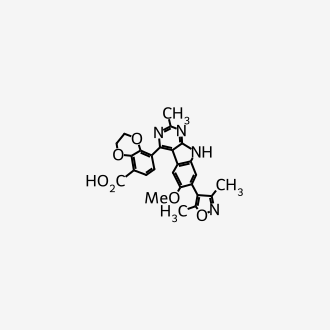 COc1cc2c(cc1-c1c(C)noc1C)[nH]c1nc(C)nc(-c3ccc(C(=O)O)c4c3OCCO4)c12